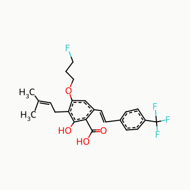 CC(C)=CCc1c(OCCCF)cc(/C=C/c2ccc(C(F)(F)F)cc2)c(C(=O)O)c1O